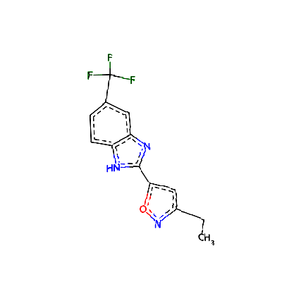 CCc1cc(-c2nc3cc(C(F)(F)F)ccc3[nH]2)on1